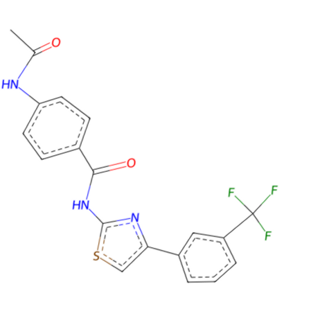 CC(=O)Nc1ccc(C(=O)Nc2nc(-c3cccc(C(F)(F)F)c3)cs2)cc1